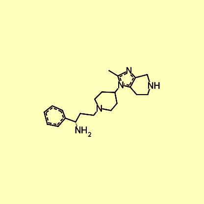 Cc1nc2c(n1C1CCN(CC[C@H](N)c3ccccc3)CC1)CCNC2